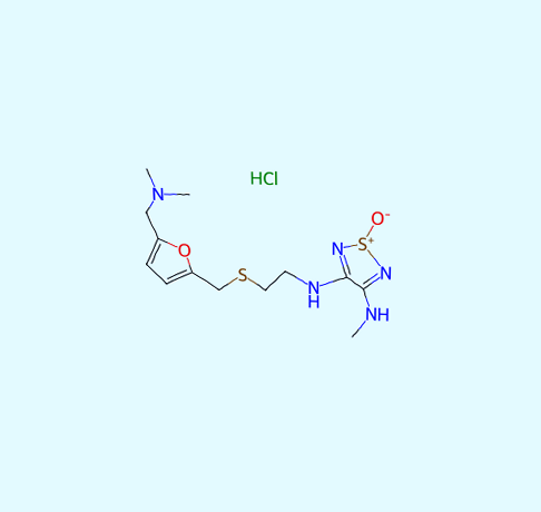 CNc1n[s+]([O-])nc1NCCSCc1ccc(CN(C)C)o1.Cl